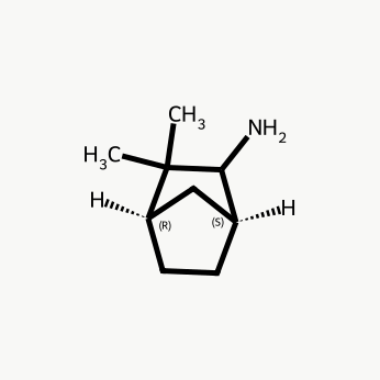 CC1(C)C(N)[C@H]2CC[C@@H]1C2